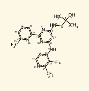 CC(C)(O)CNc1nc(Nc2ccnc(C(F)(F)F)c2F)nc(-c2cccc(C(F)(F)F)n2)n1